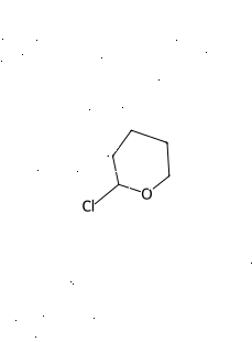 ClC1[CH]CCCO1